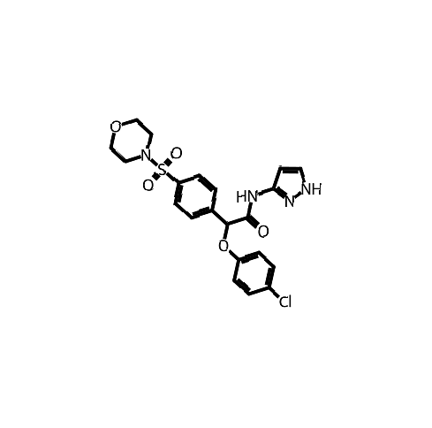 O=C(Nc1cc[nH]n1)C(Oc1ccc(Cl)cc1)c1ccc(S(=O)(=O)N2CCOCC2)cc1